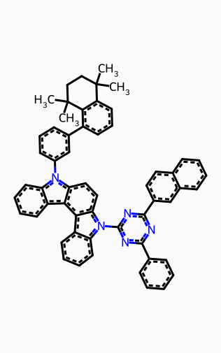 CC1(C)CCC(C)(C)c2c(-c3cccc(-n4c5ccccc5c5c6c7ccccc7n(-c7nc(-c8ccccc8)nc(-c8ccc9ccccc9c8)n7)c6ccc54)c3)cccc21